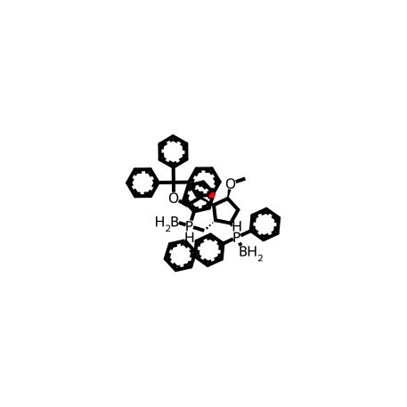 B[PH](C[C@@H]1[C@@H](CCOC(c2ccccc2)(c2ccccc2)c2ccccc2)[C@@H](OC)C[C@@H]1[PH](B)(c1ccccc1)c1ccccc1)(c1ccccc1)c1ccccc1